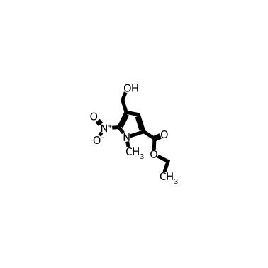 CCOC(=O)c1cc(CO)c([N+](=O)[O-])n1C